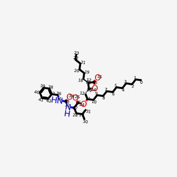 CCCCCCCCCCCC(C[C@H]1OC(=O)[C@@H]1CCCCCC)OC(=O)C(CC(C)C)NC(=O)NCc1ccccc1